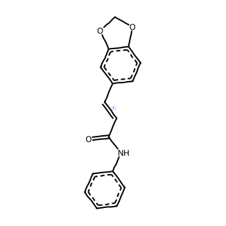 O=C(/C=C/c1ccc2c(c1)OCO2)Nc1ccccc1